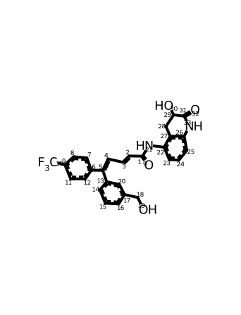 O=C(C=CC=C(c1ccc(C(F)(F)F)cc1)c1cccc(CO)c1)Nc1cccc2c1CC(O)C(=O)N2